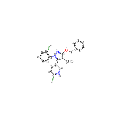 O=Cc1c(OCc2ccccc2)nn(-c2ccccc2F)c1-c1ccc(F)nc1